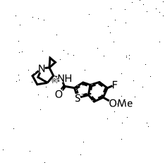 COc1cc2sc(C(=O)N[C@@H]3C4CCN(C4)C34CC4)cc2cc1F